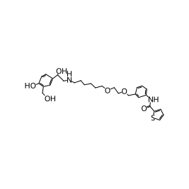 O=C(Nc1cccc(COCCOCCCCCCNC[C@@H](O)c2ccc(O)c(CO)c2)c1)c1cccs1